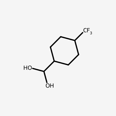 OC(O)C1CCC(C(F)(F)F)CC1